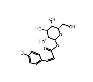 O=C(/C=C\c1ccc(O)cc1)O[C@@H]1O[C@H](CO)[C@@H](O)[C@H](O)[C@H]1O